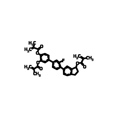 C=C(C)C(=O)Oc1ccc(-c2ccc(-c3ccc4c(c3)C(OC(=O)C(=C)C)CC4)c(F)c2)cc1OC(=O)C(=C)C